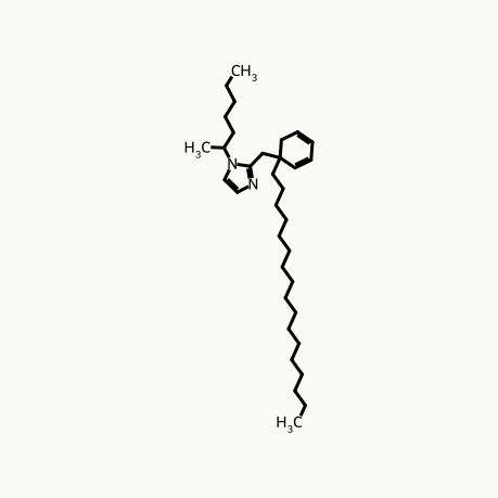 CCCCCCCCCCCCCCCCCC1(Cc2nccn2C(C)CCCCC)C=CC=CC1